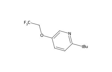 CC(C)(C)c1ccc(OCC(F)(F)F)cn1